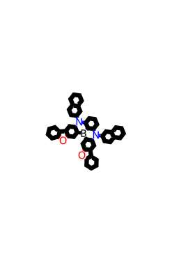 c1cc2c3c(c1)N(c1ccc4ccccc4c1)c1cc4c(cc1B3c1cc3oc5ccccc5c3cc1N2c1ccc2ccccc2c1)oc1ccccc14